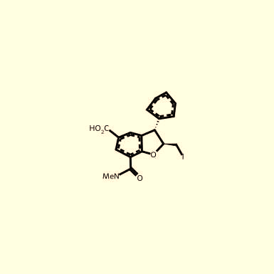 CNC(=O)c1cc(C(=O)O)cc2c1O[C@H](CI)[C@H]2c1ccccc1